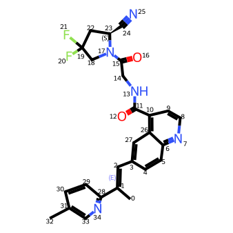 C/C(=C\c1ccc2nccc(C(=O)NCC(=O)N3CC(F)(F)C[C@H]3C#N)c2c1)c1ccc(C)cn1